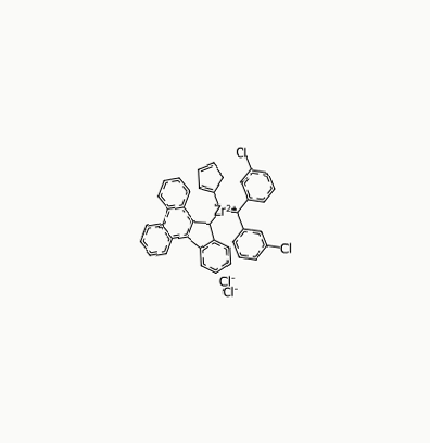 Clc1cccc([C](c2cccc(Cl)c2)=[Zr+2]([C]2=CC=CC2)[CH]2c3ccccc3-c3c2c2ccccc2c2ccccc32)c1.[Cl-].[Cl-]